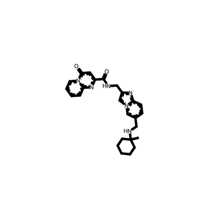 CC1(NCc2ccc3nc(CNC(=O)c4cc(=O)n5ccccc5n4)cn3c2)CCCCC1